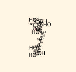 CC1=CC(O)=C(C(=O)C(C)(O)C/C=C(\C)CC/C=C(\C)CC/C=C(\CO)CCC(O)C(C)(C)O)C2=CC1C(O)=C(C)C(O)=C2C=O